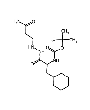 CC(C)(C)OC(=O)NC(CC1CCCCC1)C(=O)NNCCC(N)=O